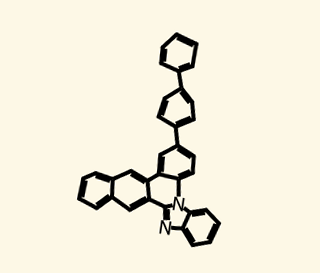 c1ccc(-c2ccc(-c3ccc4c(c3)c3cc5ccccc5cc3c3nc5ccccc5n43)cc2)cc1